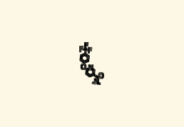 CN(C)C(=O)c1ccc(Oc2ccc(C(F)(F)F)cc2)nc1